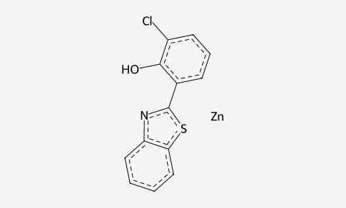 Oc1c(Cl)cccc1-c1nc2ccccc2s1.[Zn]